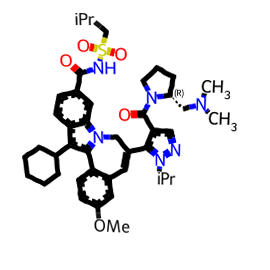 COc1ccc2c(c1)C=C(c1c(C(=O)N3CCC[C@@H]3CN(C)C)cnn1C(C)C)Cn1c-2c(C2CCCCC2)c2ccc(C(=O)NS(=O)(=O)CC(C)C)cc21